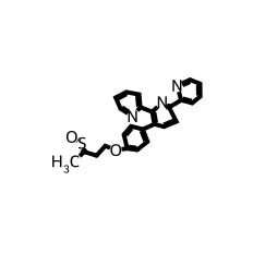 CC(CCOc1ccc(-c2ccc(-c3ccccn3)nc2-c2ccccn2)cc1)=S=O